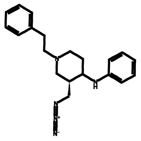 [N-]=[N+]=NC[C@@H]1CN(CCc2ccccc2)CCC1Nc1ccccc1